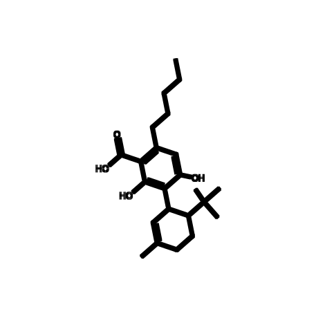 CCCCCc1cc(O)c(C2C=C(C)CCC2C(C)(C)C)c(O)c1C(=O)O